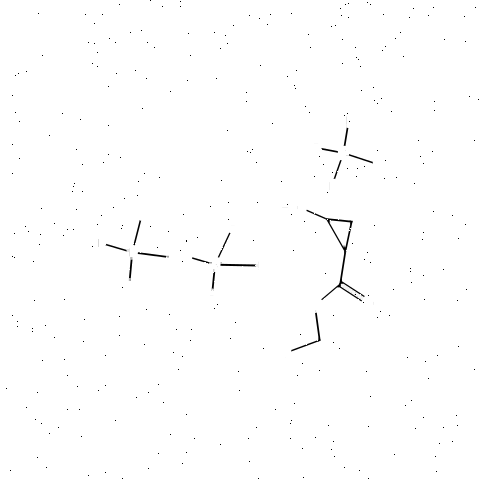 CCOC(=O)C1CC1C.F[B-](F)(F)F.F[B-](F)(F)F.F[B-](F)(F)F